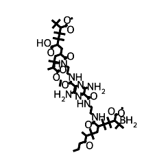 BC(C)(C)C(C(=O)OC)C(C)(C)C(C)(C)C(CC(C)(C)C(C)C(=O)CCC)C(=O)NCCNC(=O)c1nc(N)c(C(=O)NCCNC(=O)C(CC(C(=O)O)C(C)(C)C(C)(C)C(C(=O)OC)C(C)(C)C)CC(C)(C)C(C)C(=O)OCC)nc1N